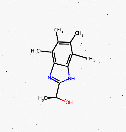 Cc1c(C)c(C)c2[nH]c([C@H](C)O)nc2c1C